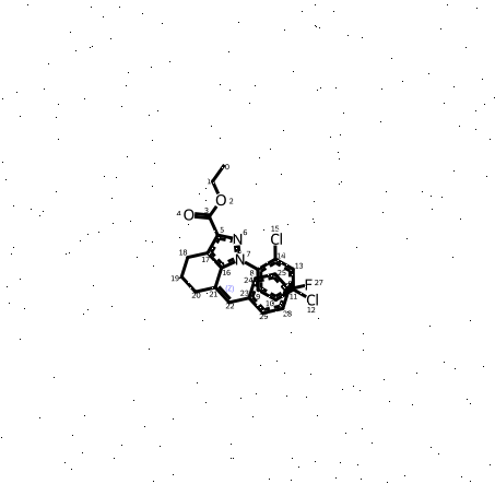 CCOC(=O)c1nn(-c2ccc(Cl)cc2Cl)c2c1CCC/C2=C/c1ccc(F)cc1